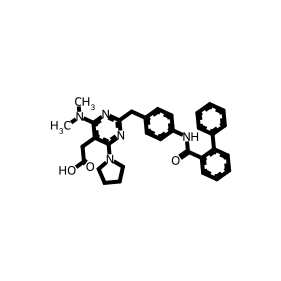 CN(C)c1nc(Cc2ccc(NC(=O)c3ccccc3-c3ccccc3)cc2)nc(N2CCCC2)c1CC(=O)O